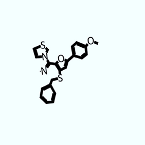 COc1ccc(-c2cc(SCc3ccccc3)c(C(=[N])N3C=CSC3)o2)cc1